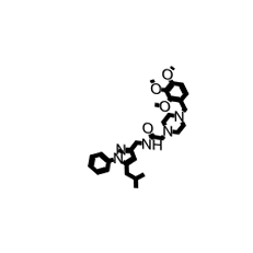 COc1ccc(CN2CCN(CC(=O)NCc3cc(CC(C)C)n(-c4ccccc4)n3)CC2)c(OC)c1OC